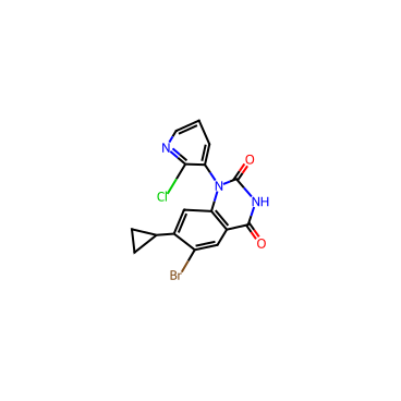 O=c1[nH]c(=O)n(-c2cccnc2Cl)c2cc(C3CC3)c(Br)cc12